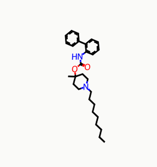 CCCCCCCCCN1CCC(C)(OC(=O)Nc2ccccc2-c2ccccc2)CC1